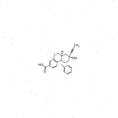 CC#C[C@]1(O)CC[C@@]2(Cc3ccccc3)c3ccc(C(=O)O)cc3CC[C@@H]2C1